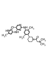 Cc1cc(Nc2nc(Nc3cc(C)c(C4CCCN(C(=O)CN(C)C)C4)cc3C)ncc2Cl)n[nH]1